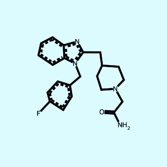 NC(=O)CN1CCC(Cc2nc3ccccc3n2Cc2ccc(F)cc2)CC1